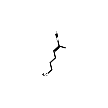 CCCC/C=C(\I)B=O